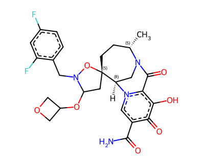 C[C@H]1CC[C@]2(CC(OC3COC3)N(Cc3ccc(F)cc3F)O2)[C@H]2CN1C(=O)c1c(O)c(=O)c(C(N)=O)cn12